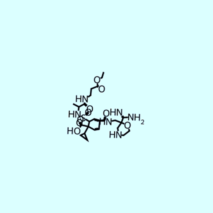 CCOC(=O)CCNC(=O)C(C)NS(=O)(=O)C1C=C(C(=O)NCC2(C(=N)N)CNCCO2)C=CC1(C(=O)O)C1CC1